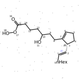 CCCCCC/C=C/[C@H]1CCC=C1CCC(O)CCCC(=O)OO